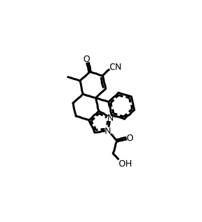 CC1C(=O)C(C#N)=CC2(c3ccccc3)c3nn(C(=O)CO)cc3CCC12